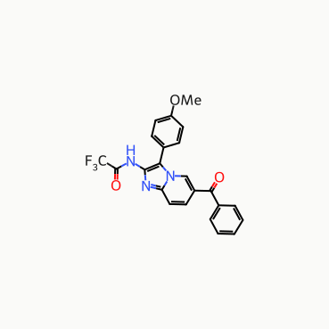 COc1ccc(-c2c(NC(=O)C(F)(F)F)nc3ccc(C(=O)c4ccccc4)cn23)cc1